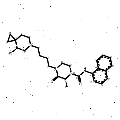 C[C@H]1C(=O)N(CCCCN2CCC3(CC3)[C@H](O)C2)CCN1C(=O)Nc1nccc2ccccc12